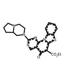 CCOC(=O)c1c(=O)c2cnc(N3CCN4CCCC4C3)nc2n2c1sc1ccccc12